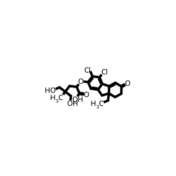 CCC12CCC(=O)C=C1c1c(cc(OC(CC(C)(CO)CO)C(=O)O)c(Cl)c1Cl)C2